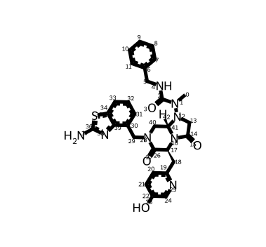 CN(C(=O)NCc1ccccc1)N1CC(=O)N2[C@@H](Cc3ccc(O)cn3)C(=O)N(Cc3cccc4sc(N)nc34)C[C@@H]21